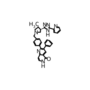 C[C@H]1CN(Cc2ccc(-c3nc4cc[nH]c(=O)c4cc3-c3ccccc3)cc2)C[C@@H]1c1nnc(-c2ccccn2)[nH]1